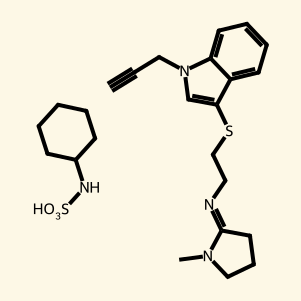 C#CCn1cc(SCCN=C2CCCN2C)c2ccccc21.O=S(=O)(O)NC1CCCCC1